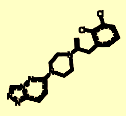 C=C(Cc1cccc(Cl)c1Cl)N1CCN(c2ccc3nncn3n2)CC1